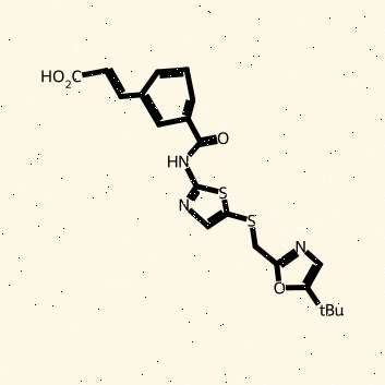 CC(C)(C)c1cnc(CSc2cnc(NC(=O)c3cccc(/C=C/C(=O)O)c3)s2)o1